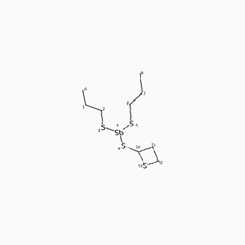 CCC[S][Sb]([S]CCC)[S]C1CCS1